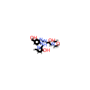 Cc1ccc(O)c(Cn2c(NCC(O)CN3CCOCC3)nc3cc(CO)ccc32)n1